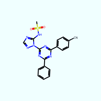 CS(=O)(=O)Nc1ncnn1-c1nc(-c2ccccc2)nc(-c2ccc(C#N)cc2)n1